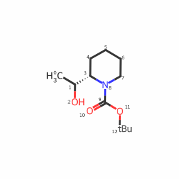 CC(O)[C@@H]1CCCCN1C(=O)OC(C)(C)C